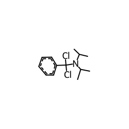 CC(C)N(C(C)C)C(Cl)(Cl)c1ccccc1